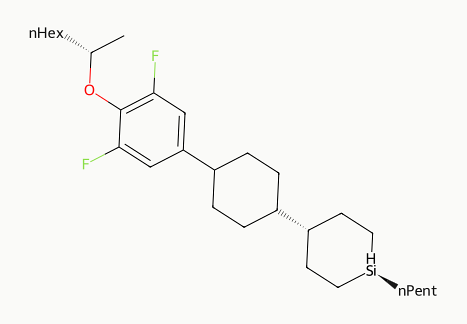 CCCCCC[C@H](C)Oc1c(F)cc(C2CCC([C@H]3CC[Si@H](CCCCC)CC3)CC2)cc1F